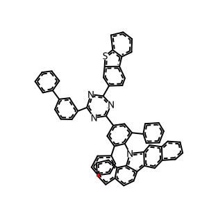 c1ccc(-c2cccc(-c3nc(-c4cc(-c5ccccc5)c(-n5c6cc7ccccc7cc6c6ccc7ccccc7c65)c(-c5ccccc5)c4)nc(-c4ccc5c(c4)sc4ccccc45)n3)c2)cc1